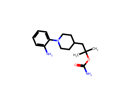 CC(C)(CC1CCN(c2ccccc2N)CC1)OC(N)=O